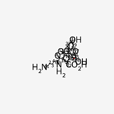 NCCCC[C@H](N)C(=O)c1cc(C(=O)O)cc2c1C(=O)OC21c2ccc(O)cc2Oc2cc(O)ccc21